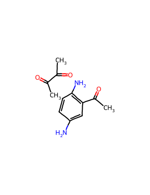 CC(=O)C(C)=O.CC(=O)c1cc(N)ccc1N